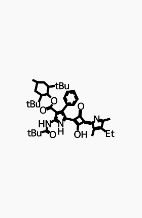 CCC1=C(C)/C(=C2/C(=O)C(c3[nH]c(NC(=O)C(C)(C)C)c(C(=O)OC4C(C(C)(C)C)CC(C)CC4C(C)(C)C)c3-c3ccccc3)=C2O)N=C1C